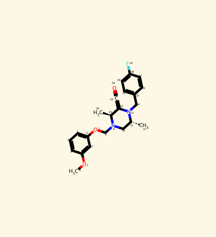 COc1cccc(OCN2C[C@@H](C)N(Cc3ccc(F)cc3)C(=C=O)[C@@H]2C)c1